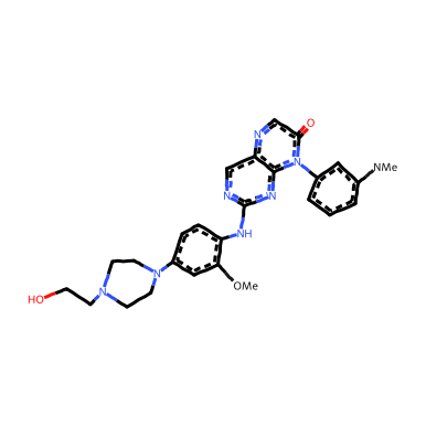 CNc1cccc(-n2c(=O)cnc3cnc(Nc4ccc(N5CCN(CCO)CC5)cc4OC)nc32)c1